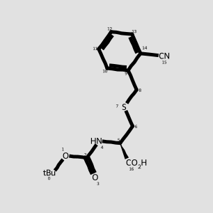 CC(C)(C)OC(=O)N[C@@H](CSCc1ccccc1C#N)C(=O)O